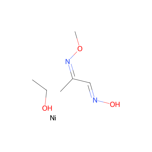 CCO.CON=C(C)C=NO.[Ni]